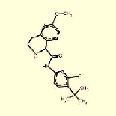 COc1ccc2c(n1)CCNC2C(=O)Nc1ccc([Si](C)(C)C)c(F)c1